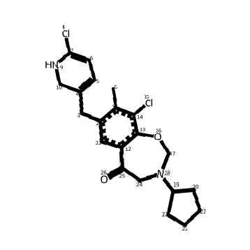 Cc1c(CC2=CC=C(Cl)NC2)cc2c(c1Cl)OCN(C1CCCC1)CC2=O